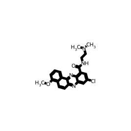 COc1cccc2c1ccc1nc3cc(Cl)cc(C(=O)NCCN(C)C)c3nc12